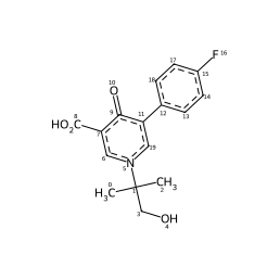 CC(C)(CO)n1cc(C(=O)O)c(=O)c(-c2ccc(F)cc2)c1